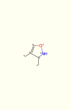 C[C]1NOC=C1C